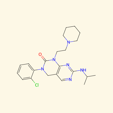 CC(C)Nc1ncc2c(n1)N(CCN1CCCCC1)C(=O)N(c1ccccc1Cl)C2